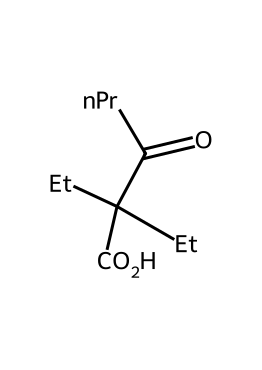 CCCC(=O)C(CC)(CC)C(=O)O